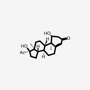 CC(=O)[C@@]1(O)CC[C@H]2[C@@H]3CCC4=CC(=O)C[C@@H](O)[C@]4(C)[C@H]3CC[C@@]21C